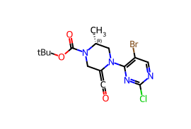 C[C@@H]1CN(c2nc(Cl)ncc2Br)C(=C=O)CN1C(=O)OC(C)(C)C